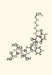 CCCCCCCCC(C(=O)NC(OC(=O)CN(CCN(CC(=O)O)CC(=O)O)CC(=O)O)c1ccccc1)N1C(=O)C=CC1=O